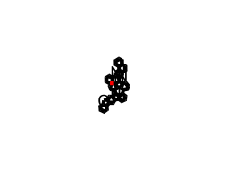 c1ccc(-c2nc3c(ccc4ccccc43)nc2-n2c3cccc4c5cccc6c7cc8c(cc7n(c7cccc2c7c43)c56)oc2ccccc28)cc1